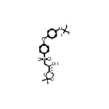 CC1(C)OC[C@H]([C@H](O)CS(=O)(=O)c2ccc(Oc3ccc(OC(F)(F)F)cc3)cc2)O1